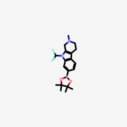 CN1CCc2c(n(C(F)F)c3cc(B4OC(C)(C)C(C)(C)O4)ccc23)C1